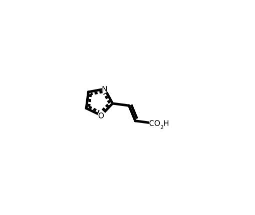 O=C(O)C=Cc1ncco1